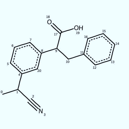 CC(C#N)c1cccc(C(Cc2ccccc2)C(=O)O)c1